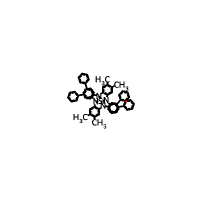 Cc1cc2c(cc1C)N(c1cccc(-c3ccccc3)c1)[Si]1(N2c2cccc(-c3ccccc3)c2)N(c2cccc(-c3ccccc3)c2)c2cc(C)c(C)cc2N1c1cccc(-c2ccccc2)c1